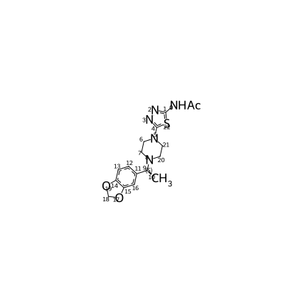 CC(=O)Nc1nnc(N2CCN([C@@H](C)c3ccc4c(c3)OCO4)CC2)s1